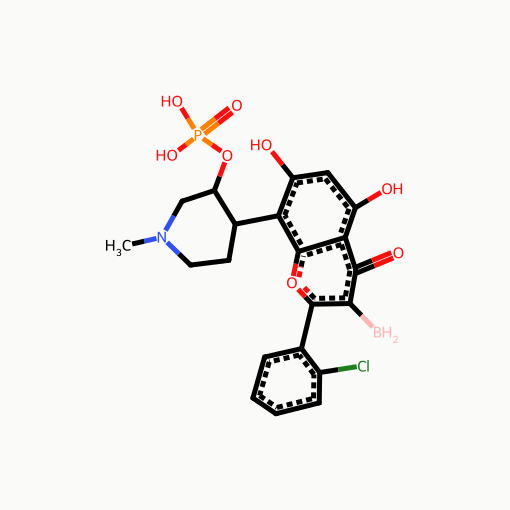 Bc1c(-c2ccccc2Cl)oc2c(C3CCN(C)CC3OP(=O)(O)O)c(O)cc(O)c2c1=O